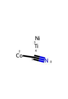 N#[C][Co].[Ni].[Ti]